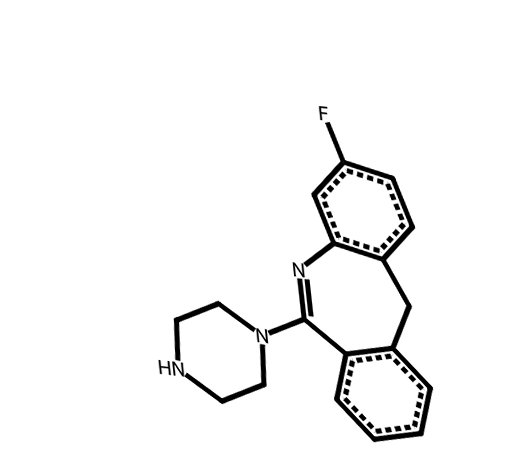 Fc1ccc2c(c1)N=C(N1CCNCC1)c1ccccc1C2